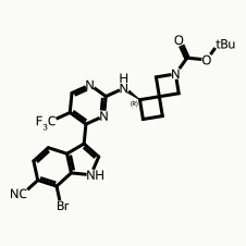 CC(C)(C)OC(=O)N1CC2(CC[C@H]2Nc2ncc(C(F)(F)F)c(-c3c[nH]c4c(Br)c(C#N)ccc34)n2)C1